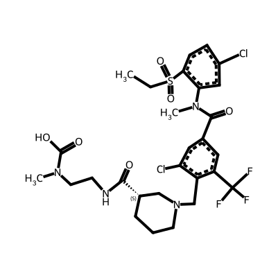 CCS(=O)(=O)c1ccc(Cl)cc1N(C)C(=O)c1cc(Cl)c(CN2CCC[C@H](C(=O)NCCN(C)C(=O)O)C2)c(C(F)(F)F)c1